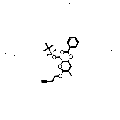 C#CCCO[C@@H]1O[C@H](CO[Si](C)(C)C(C)(C)C)[C@H](OC(=O)c2ccccc2)[C@H](C)[C@H]1C